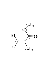 CCC(C)=C(C(=O)OC(F)(F)F)C(F)(F)F